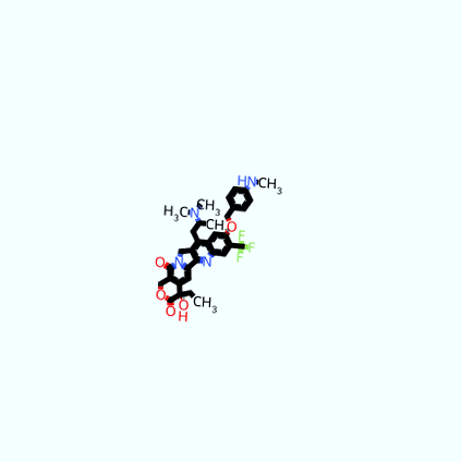 CC[C@@]1(O)C(=O)OCc2c1cc1n(c2=O)Cc2c-1nc1cc(C(F)(F)F)c(OCc3ccc(NC)cc3)cc1c2CC(C)N(C)C